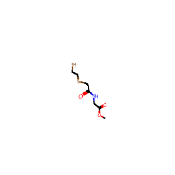 COC(=O)CNC(=O)CSCCS